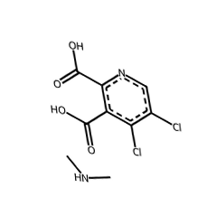 CNC.O=C(O)c1ncc(Cl)c(Cl)c1C(=O)O